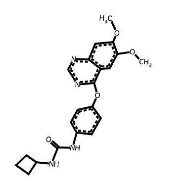 COc1cc2ncnc(Oc3ccc(NC(=O)NC4CCC4)cc3)c2cc1OC